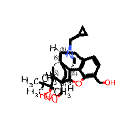 CC(C)(C)C(C)(O)[C@H]1C[C@@]23CC[C@]1(CO)[C@@H]1Oc4c(CO)ccc5c4[C@@]12CCN(CC1CC1)[C@@H]3C5